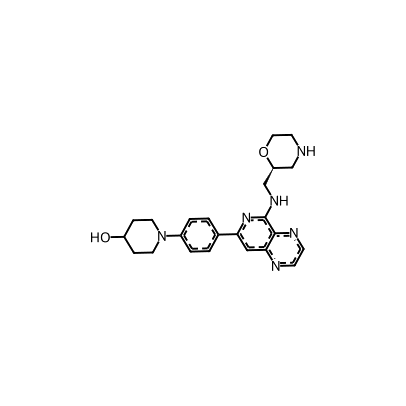 OC1CCN(c2ccc(-c3cc4nccnc4c(NC[C@@H]4CNCCO4)n3)cc2)CC1